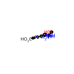 NC1=C(N2CCC3CC4C(C2)CC4(c2ccc(C4CCN([C@H]5CC6(C[C@H](C(=O)O)C6)C5)CC4)cc2)C3)C=C(c2ccccc2O)NN1